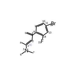 C=C(/C=C(\C)N(C)C)c1ccc(Br)cc1F